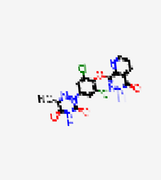 N#Cc1nn(-c2cc(Cl)c(Oc3n[nH]c(=O)c4cccnc34)c(Cl)c2)c(=O)[nH]c1=O